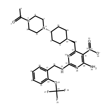 CC(=O)N1CCN([C@H]2CC[C@H](Cc3nc(NCc4ccccc4OC(F)(F)F)nc(N)c3[N+](=O)[O-])CC2)CC1